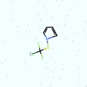 FC(F)(Cl)Sn1cccc1